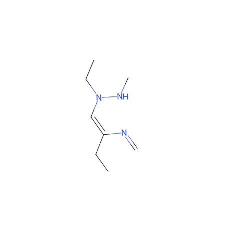 C=N/C(=C\N(CC)NC)CC